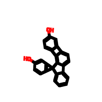 Oc1ccc2c(c1)-c1ccc3c(c1-2)C1(c2ccccc2-3)c2ccc(O)cc21